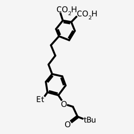 CCc1cc(CCCc2ccc(C(=O)O)c(C(=O)O)c2)ccc1OCC(=O)C(C)(C)C